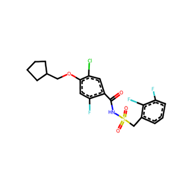 O=C(NS(=O)(=O)Cc1cccc(F)c1F)c1cc(Cl)c(OCC2CCCC2)cc1F